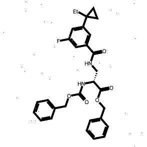 CCC1(c2cc(F)cc(C(=O)NC[C@@H](NC(=O)OCc3ccccc3)C(=O)OCc3ccccc3)c2)CC1